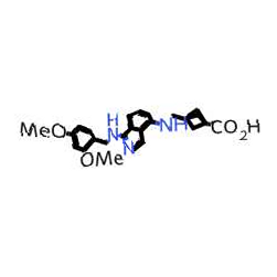 COc1ccc(CNc2nccc3c(NCC45CC(C(=O)O)(C4)C5)cccc23)c(OC)c1